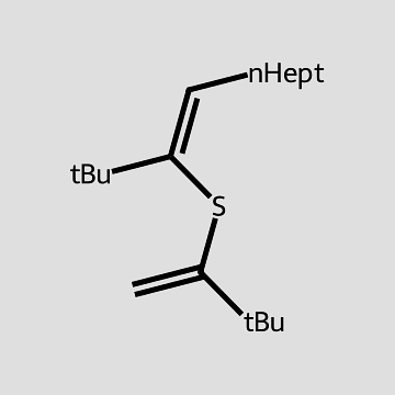 C=C(S/C(=C\CCCCCCC)C(C)(C)C)C(C)(C)C